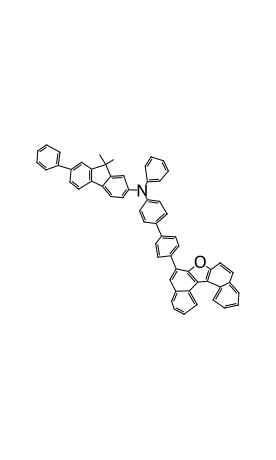 CC1(C)c2cc(-c3ccccc3)ccc2-c2ccc(N(c3ccccc3)c3ccc(-c4ccc(-c5cc6ccccc6c6c5oc5ccc7ccccc7c56)cc4)cc3)cc21